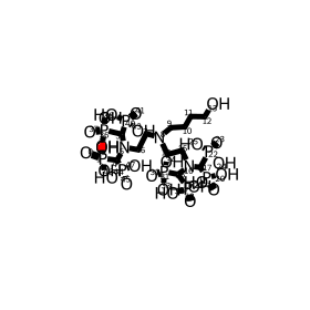 O=P(O)(O)C(N(CCN(CCCCO)CCN(C(P(=O)(O)O)P(=O)(O)O)C(P(=O)(O)O)P(=O)(O)O)C(P(=O)(O)O)P(=O)(O)O)P(=O)(O)O